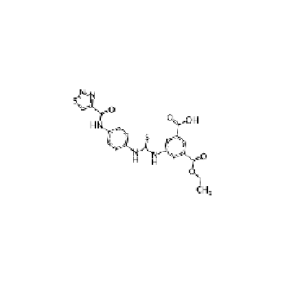 CCOC(=O)c1cc(NC(=S)Nc2ccc(NC(=O)c3csnn3)cc2)cc(C(=O)O)c1